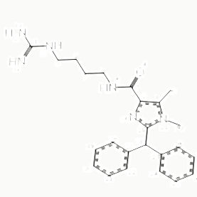 Cc1c(C(=O)NCCCCNC(=N)N)nc(C(c2ccccc2)c2ccccc2)n1C